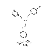 CC(C)(C)c1ccc(CSC(CCc2ccc(Cl)cc2)CCn2ccnc2)cc1